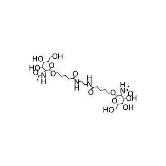 CC(=O)N[C@H]1C(O)[C@@H](O)C(CO)O[C@H]1OCCCCC(=O)NCCNC(=O)CCCCO[C@@H]1OC(CO)[C@H](O)C(O)[C@@H]1NC(C)=O